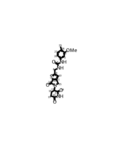 COc1cc(NC(=O)NCc2cc3c(s2)C(=O)N(C2CCC(=O)NC2=O)C3)ccc1C